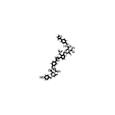 CC(C)C(=O)N1C(C)CN(Cc2ccc(C#N)cc2)CC1C(=O)NCc1ccc(-c2ccc(-c3cccc(CN4CC(C)N(C(=O)C(C)C)C(C(=O)NCc5ccc(-c6ccco6)cc5)C4)c3CN(C)C)o2)cc1